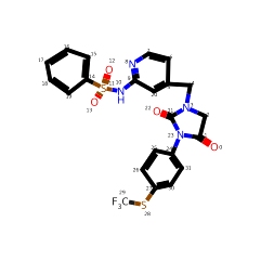 O=C1CN(Cc2ccnc(NS(=O)(=O)c3ccccc3)c2)C(=O)N1c1ccc(SC(F)(F)F)cc1